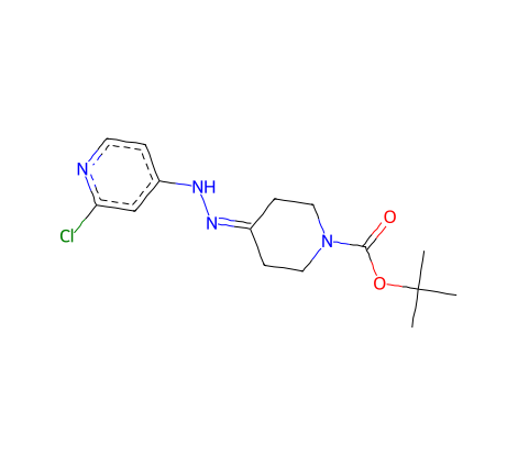 CC(C)(C)OC(=O)N1CCC(=NNc2ccnc(Cl)c2)CC1